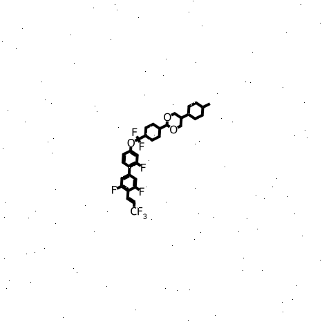 CC1CCC(C2COC(C3CCC(C(F)(F)Oc4ccc(-c5cc(F)c(/C=C/C(F)(F)F)c(F)c5)c(F)c4)CC3)OC2)CC1